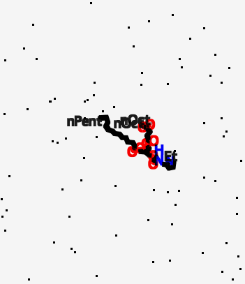 CCCCC/C=C\C/C=C\CCCCCCCC(=O)OCC(COC(=O)CCC(OCCCCCCCC)OCCCCCCCC)COC(=O)NCC1CCCN1CC